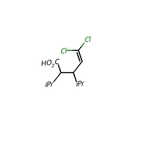 CC(C)C(C=C(Cl)Cl)C(C(=O)O)C(C)C